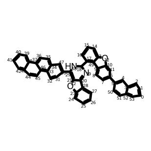 c1ccc2cc(-c3ccc4c(c3)oc3cccc(C5N=c6c(oc7ccccc67)=C(c6ccc7c(ccc8c9ccccc9ccc78)c6)N5)c34)ccc2c1